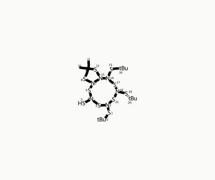 CC(C)(C)SN1SN(S)SN2SC(C)(C)SN2N(SC(C)(C)C)SN(SC(C)(C)C)S1